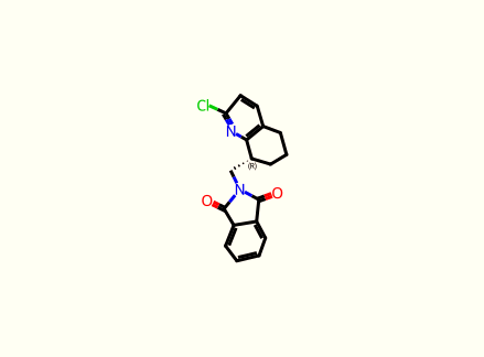 O=C1c2ccccc2C(=O)N1C[C@H]1CCCc2ccc(Cl)nc21